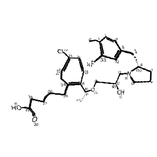 Cc1ccc(C[C@@H]2CCCN2C[C@@H](O)CO[C@H](C)c2ccc(Cl)cc2CCCCC(=O)O)cc1F